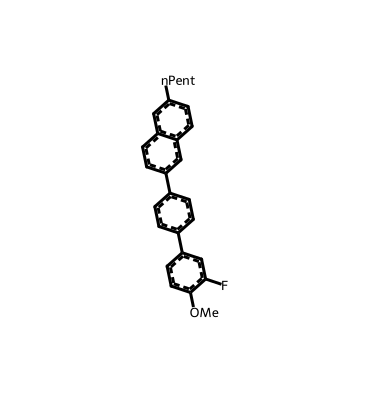 CCCCCc1ccc2cc(-c3ccc(-c4ccc(OC)c(F)c4)cc3)ccc2c1